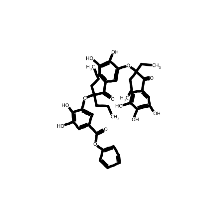 CCCC(CC)(Oc1cc(C(=O)C(CCC)(CCC)Oc2cc(C(=O)Oc3ccccc3)cc(O)c2O)cc(O)c1O)C(=O)c1cc(O)c(O)c(O)c1